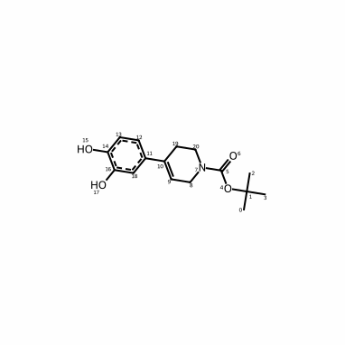 CC(C)(C)OC(=O)N1CC=C(c2ccc(O)c(O)c2)CC1